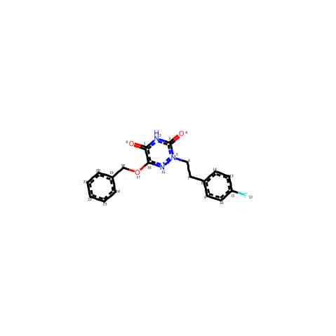 O=c1[nH]c(=O)n(CCc2ccc(F)cc2)nc1OCc1ccccc1